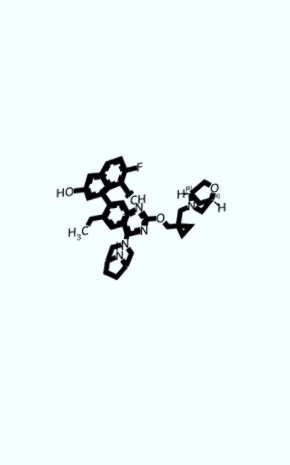 C#Cc1c(F)ccc2cc(O)cc(-c3cc4nc(OCC5(CN6C[C@H]7C[C@@H]6CO7)CC5)nc(N5CC6CCC(C5)N6)c4cc3CC)c12